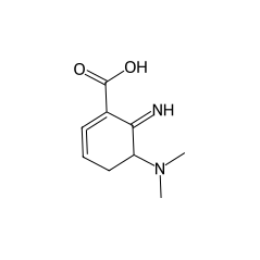 CN(C)C1CC=C=C(C(=O)O)C1=N